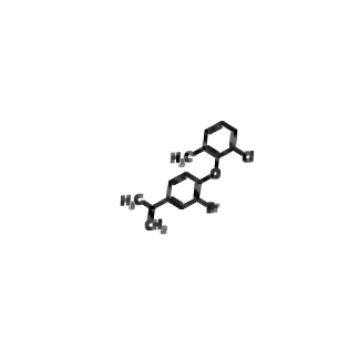 C=C(C)c1ccc(Oc2c(C)cccc2Cl)c(Br)c1